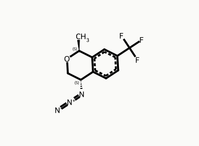 C[C@@H]1OC[C@@H](N=[N+]=[N-])c2ccc(C(F)(F)F)cc21